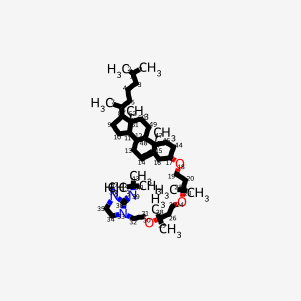 CC(C)CCCC(C)C1CCC2C3CC=C4CC(OCCC(C)(C)OCCC(C)(C)OCCN5CCN(C)C5=NC(C)(C)C)CC[C@]4(C)C3CC[C@]12C